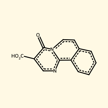 O=C(O)c1cnc2c3ccccc3ccn2c1=O